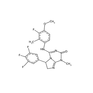 COc1ccc(NC2=NC(=O)N(C)C3=NCC(c4cc(F)c(F)c(F)c4)N23)c(C)c1F